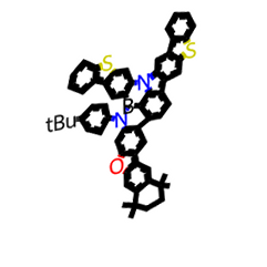 CC(C)(C)c1ccc(N2B3c4cc5c(cc4-n4c6cc7c(cc6c6ccc(c3c64)-c3cc4c(cc32)oc2cc3c(cc24)C(C)(C)CCC3(C)C)sc2ccccc27)sc2ccccc25)cc1